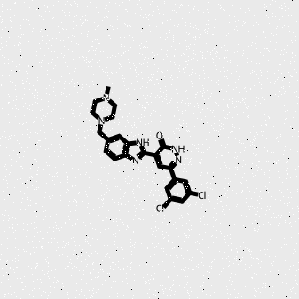 CN1CCN(Cc2ccc3nc(-c4cc(-c5cc(Cl)cc(Cl)c5)n[nH]c4=O)[nH]c3c2)CC1